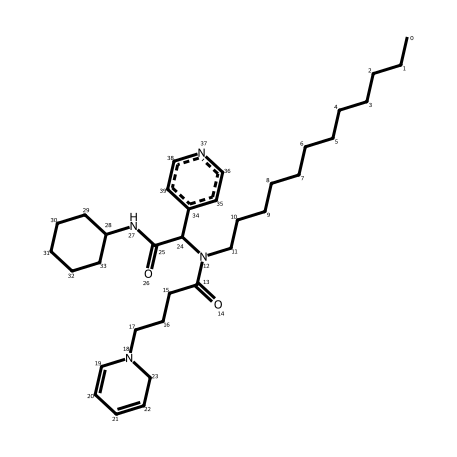 CCCCCCCCCCCCN(C(=O)CCCN1C=CC=CC1)C(C(=O)NC1CCCCC1)c1ccncc1